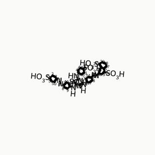 O=S(=O)(O)c1ccc(N=Nc2ccc(Nc3nc(Nc4ccc(N=Nc5cc(S(=O)(=O)O)c6cccc(S(=O)(=O)O)c6c5)cc4)nc(Nc4ccc(S(=O)(=O)O)cc4)n3)c(S(=O)(=O)O)c2)cc1